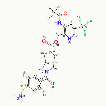 CC(C)(C)C(=O)Nc1cc(C(F)(F)F)cnc1COC(=O)N1CC2=C(C1)CN(C(=O)c1cc(F)c(SN)cc1F)C2